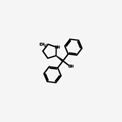 OC(c1ccccc1)(c1ccccc1)[C@H]1CCCN1.[CH3]